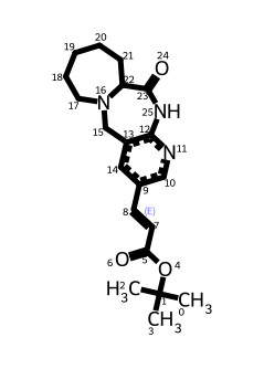 CC(C)(C)OC(=O)/C=C/c1cnc2c(c1)CN1CCCCCC1C(=O)N2